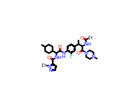 CCC(=O)NC(C(=O)N1CCN(C)CC1)C(C)c1ccc(NC(=O)C(NC(=O)c2ccnn2CC)C2CCC(C)CC2)c(F)c1